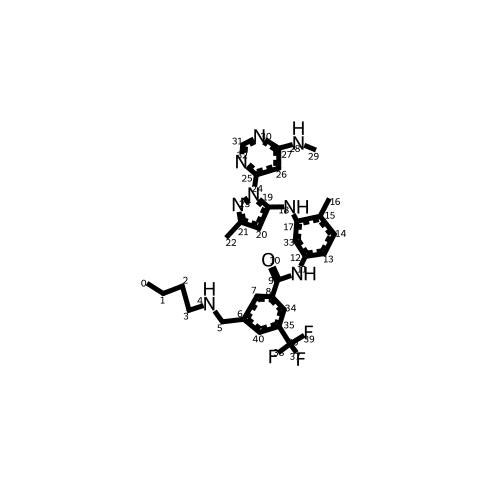 CCCCNCc1cc(C(=O)Nc2ccc(C)c(Nc3cc(C)nn3-c3cc(NC)ncn3)c2)cc(C(F)(F)F)c1